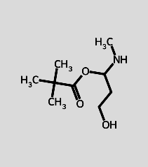 CNC(CCO)OC(=O)C(C)(C)C